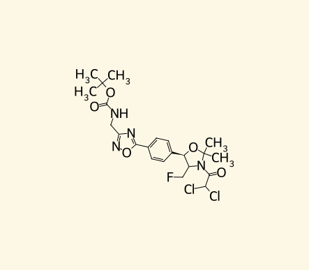 CC(C)(C)OC(=O)NCc1noc(-c2ccc([C@H]3OC(C)(C)N(C(=O)C(Cl)Cl)C3CF)cc2)n1